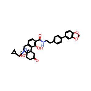 O=C1CC[C@@]2(O)[C@H]3Cc4ccc(C(=O)NCCc5ccc(-c6ccc7c(c6)OCO7)cc5)c(O)c4[C@@]2(CCN3CC2CC2)C1